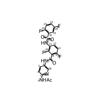 CC(=O)Nc1ccc(NC(=O)c2c(F)ccc(NS(=O)(=O)c3cc(F)ccc3F)c2F)cn1